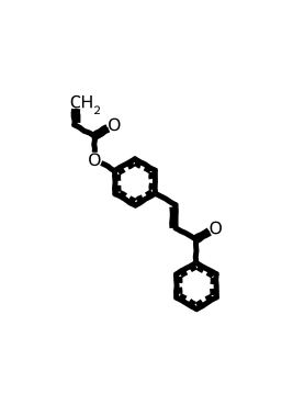 C=CC(=O)Oc1ccc(C=CC(=O)c2ccccc2)cc1